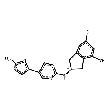 Cc1ncn(-c2cnc(N[C@H]3Cc4cc(Cl)cc(C#N)c4C3)nc2)n1